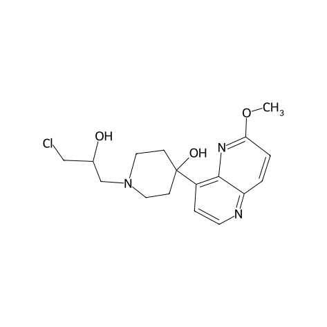 COc1ccc2nccc(C3(O)CCN(CC(O)CCl)CC3)c2n1